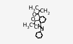 C=C(C)C(=O)c1cccc(N=Nc2ccccc2)c1C(=O)C(=C)C